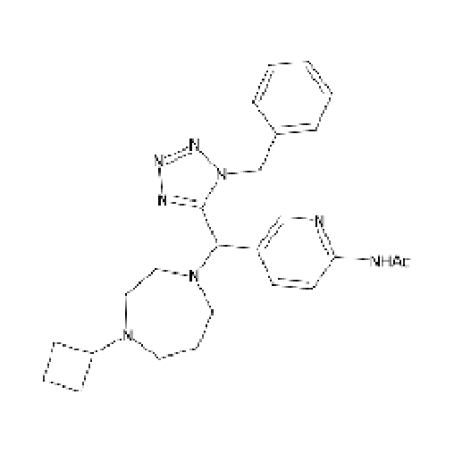 CC(=O)Nc1ccc(C(c2nnnn2Cc2ccccc2)N2CCCN(C3CCC3)CC2)cn1